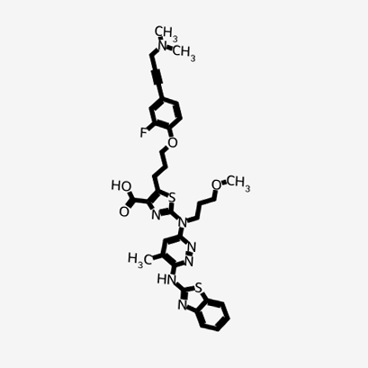 COCCCN(c1cc(C)c(Nc2nc3ccccc3s2)nn1)c1nc(C(=O)O)c(CCCOc2ccc(C#CCN(C)C)cc2F)s1